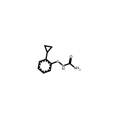 NC(=O)NSc1ccccc1C1CC1